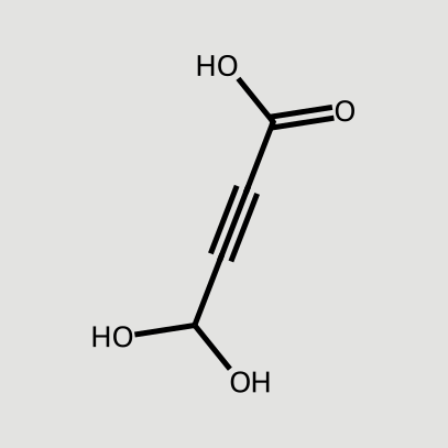 O=C(O)C#CC(O)O